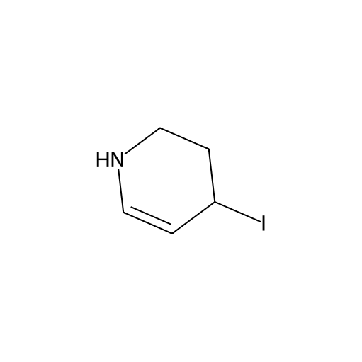 IC1C=CNCC1